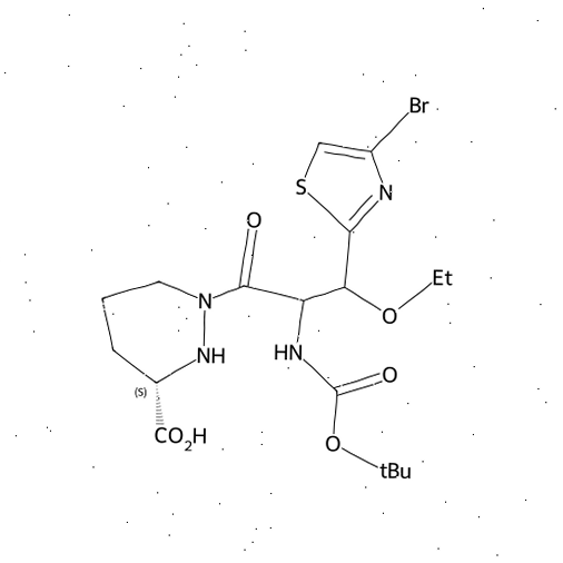 CCOC(c1nc(Br)cs1)C(NC(=O)OC(C)(C)C)C(=O)N1CCC[C@@H](C(=O)O)N1